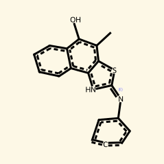 Cc1c(O)c2ccccc2c2[nH]/c(=N\c3ccccc3)sc12